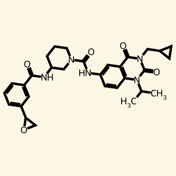 CC(C)n1c(=O)n(CC2CC2)c(=O)c2cc(NC(=O)N3CCCC(NC(=O)c4cccc(C5CO5)c4)C3)ccc21